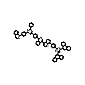 c1ccc(-c2nc(-c3ccc(-c4nccc5ccccc45)cc3)nc(-c3ccc(-c4ncc(-c5ccnc6c(-c7ccc(-c8nc(-c9cc%10ccccc%10c%10ccccc9%10)nc(-c9cc%10ccccc%10c%10ccccc9%10)n8)cc7)cccc56)c5ccccc45)cc3)n2)cc1